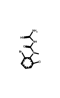 CN(C(=O)NC(=N)N)c1c(Cl)cccc1Br